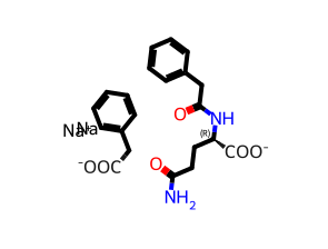 NC(=O)CC[C@@H](NC(=O)Cc1ccccc1)C(=O)[O-].O=C([O-])Cc1ccccc1.[Na+].[Na+]